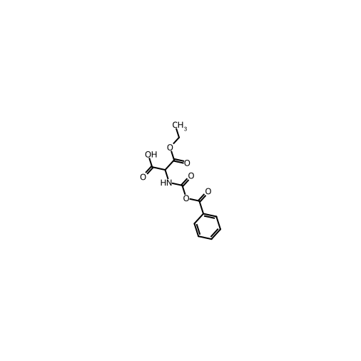 CCOC(=O)C(NC(=O)OC(=O)c1ccccc1)C(=O)O